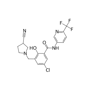 N#CC1CCN(Cc2cc(Cl)cc(C(=O)Nc3ccc(C(F)(F)F)nc3)c2O)C1